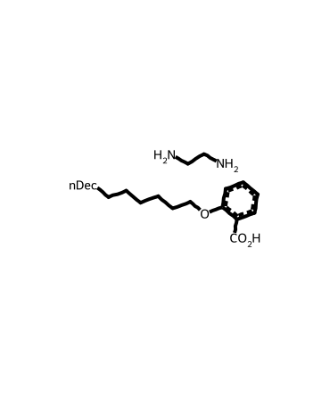 CCCCCCCCCCCCCCCCOc1ccccc1C(=O)O.NCCN